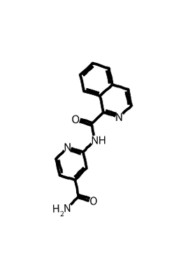 NC(=O)c1ccnc(NC(=O)c2nccc3ccccc23)c1